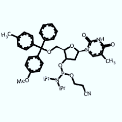 COc1ccc(C(OC[C@H]2O[C@@H](n3cc(C)c(=O)[nH]c3=O)CC2OP(OCCC#N)N(C(C)C)C(C)C)(c2ccccc2)c2ccc(C)cc2)cc1